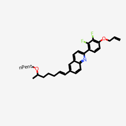 C=CCOc1ccc(-c2ccc3cc(C=CCCCC(C)OCCCCC)ccc3n2)c(F)c1F